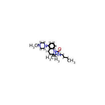 CCCCNC(=O)N1c2cccc(N3CCN(C)CC3)c2CCC1(C)C